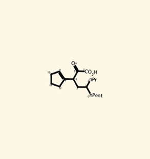 CCCCCC(CCC)CC(C(=O)C(=O)O)C1=CCCC1